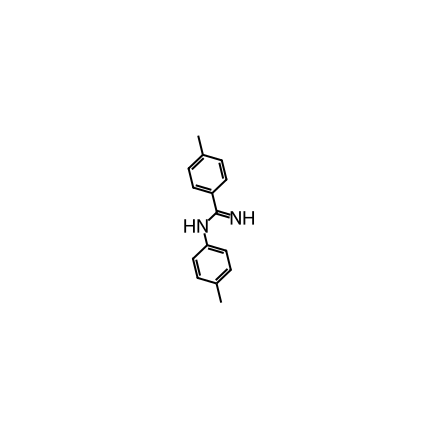 Cc1ccc(NC(=N)c2ccc(C)cc2)cc1